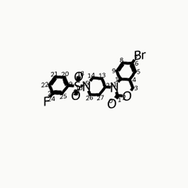 O=C1OCC2C=C(Br)C=CC2N1C1CCN(S(=O)(=O)c2cccc(F)c2)CC1